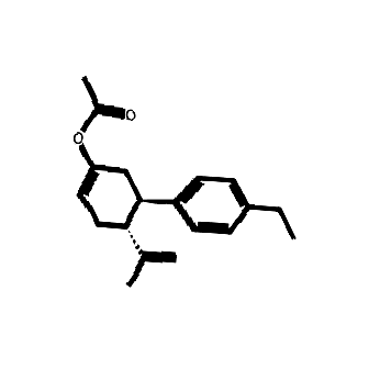 C=C(C)[C@@H]1CC=C(OC(C)=O)C[C@H]1c1ccc(CC)cc1